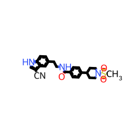 CS(=O)(=O)N1CCC(c2ccc(C(=O)NCCc3ccc4[nH]cc(C#N)c4c3)cc2)CC1